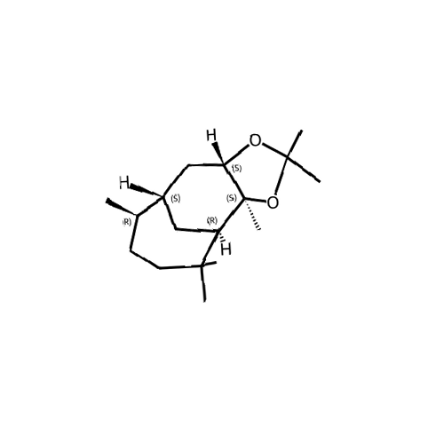 C[C@@H]1CCC(C)(C)[C@H]2C[C@H]1C[C@@H]1OC(C)(C)O[C@]12C